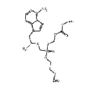 CCCCOC(=O)OCOP(=O)(CO[C@H](C)Cn1cnc2c(N)ncnc21)OCCSSC